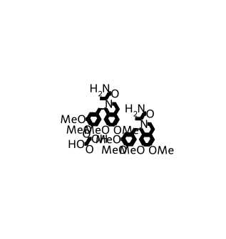 COc1ccc(C[C@@H]2c3cc(OC)c(OC)cc3CCN2C(C)C(N)=O)cc1OC.COc1ccc(C[C@@H]2c3cc(OC)c(OC)cc3CCN2C(C)C(N)=O)cc1OC.O=C(O)C(=O)O